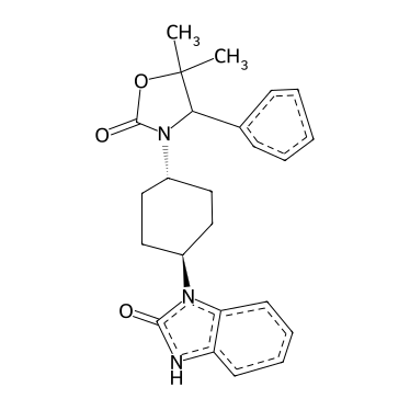 CC1(C)OC(=O)N([C@H]2CC[C@H](n3c(=O)[nH]c4ccccc43)CC2)C1c1ccccc1